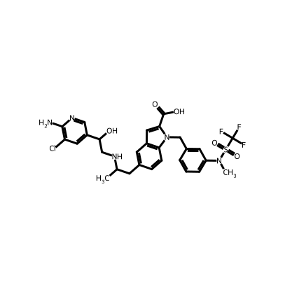 CC(Cc1ccc2c(c1)cc(C(=O)O)n2Cc1cccc(N(C)S(=O)(=O)C(F)(F)F)c1)NCC(O)c1cnc(N)c(Cl)c1